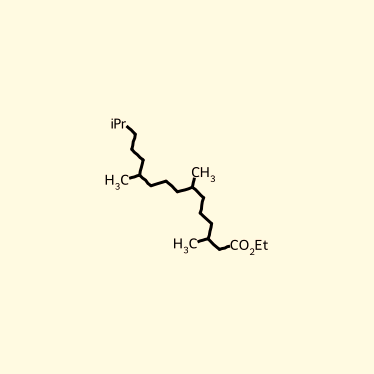 CCOC(=O)CC(C)CCCC(C)CCCC(C)CCCC(C)C